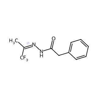 C/C(=N/NC(=O)Cc1ccccc1)C(F)(F)F